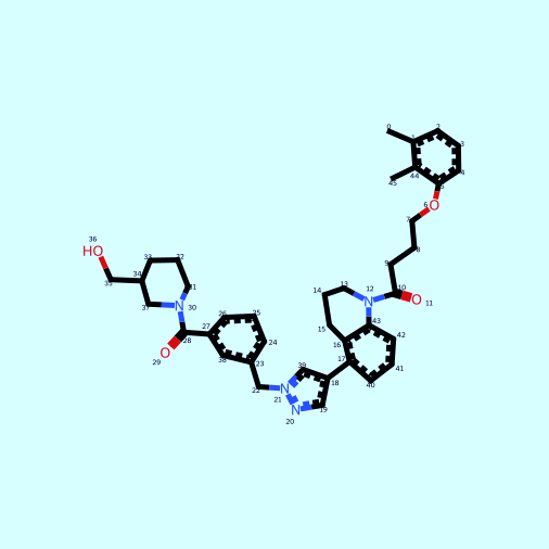 Cc1cccc(OCCCC(=O)N2CCCc3c(-c4cnn(Cc5cccc(C(=O)N6CCCC(CO)C6)c5)c4)cccc32)c1C